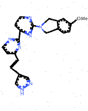 COc1ccc2c(c1)CN(c1nccc(-c3nccc(/C=C/c4cn[nH]c4)n3)n1)C2